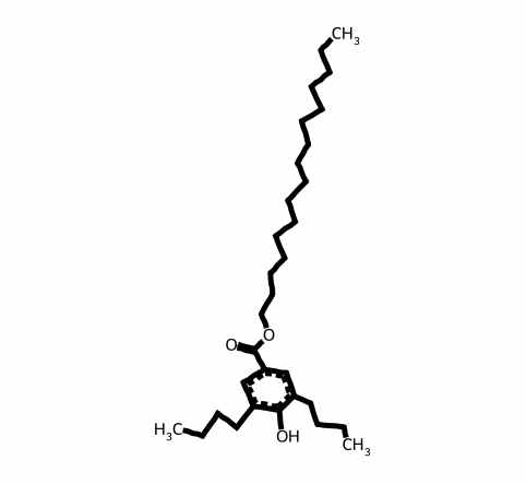 CCCCCCCCCCCCCCCCOC(=O)c1cc(CCCC)c(O)c(CCCC)c1